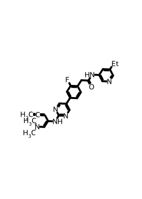 C=C=C/C(=C\N(C)C)Nc1ncc(-c2ccc(CC(=O)Nc3cncc(CC)c3)c(F)c2)cn1